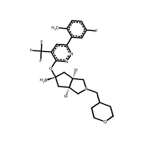 B[C@@]1(Oc2nnc(-c3cc(F)ccc3C)cc2C(F)(F)F)C[C@H]2CN(CC3CCOCC3)C[C@H]2C1